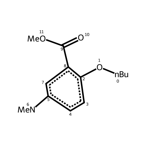 CCCCOc1ccc(NC)cc1C(=O)OC